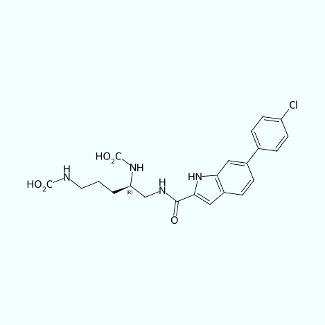 O=C(O)NCCC[C@H](CNC(=O)c1cc2ccc(-c3ccc(Cl)cc3)cc2[nH]1)NC(=O)O